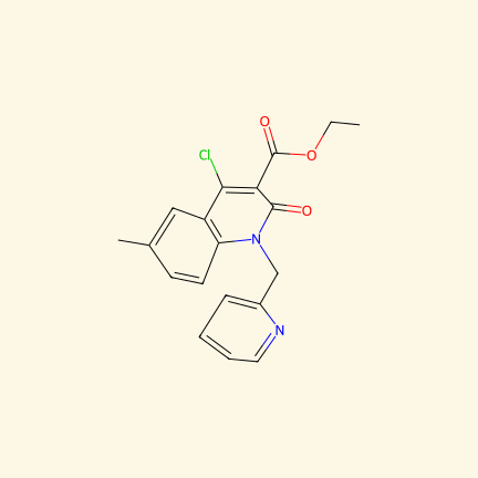 CCOC(=O)c1c(Cl)c2cc(C)ccc2n(Cc2ccccn2)c1=O